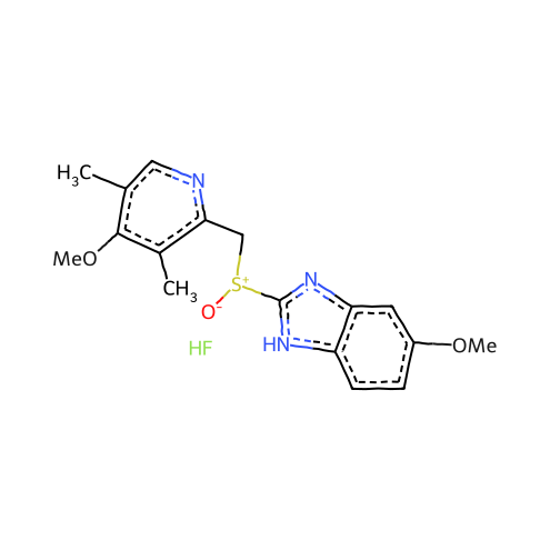 COc1ccc2[nH]c([S+]([O-])Cc3ncc(C)c(OC)c3C)nc2c1.F